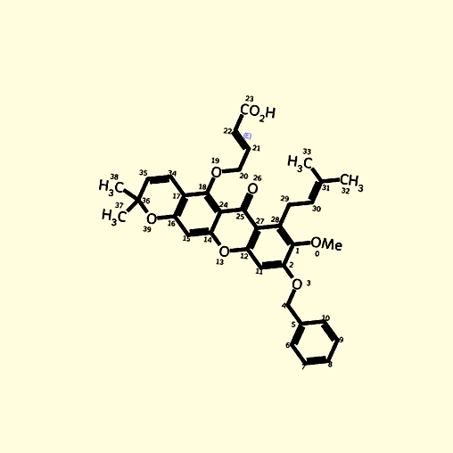 COc1c(OCc2ccccc2)cc2oc3cc4c(c(OC/C=C/C(=O)O)c3c(=O)c2c1CC=C(C)C)C=CC(C)(C)O4